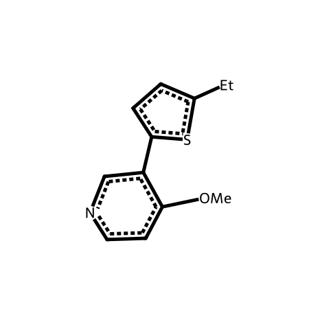 CCc1ccc(-c2cnccc2OC)s1